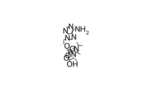 CC(C)=NOP(=O)(CO[C@H](C)Cn1cnc2c(N)ncnc21)N(C(C)C)[C@@H](C)C(=O)O